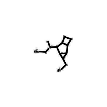 CC(C)CC1C2C3CCC3C(N(C)CC(C)(C)C)C12